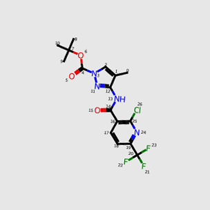 Cc1cn(C(=O)OC(C)(C)C)nc1NC(=O)c1ccc(C(F)(F)F)nc1Cl